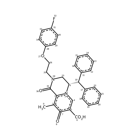 Cc1c2n(cc(C(=O)O)c1=O)[C@@H](C(c1ccccc1)c1ccccc1)CN(CCOc1ccc(F)cc1)C2=O